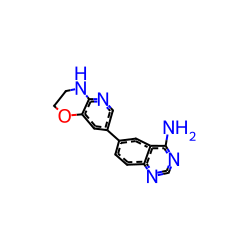 Nc1ncnc2ccc(-c3cnc4c(c3)OCCN4)cc12